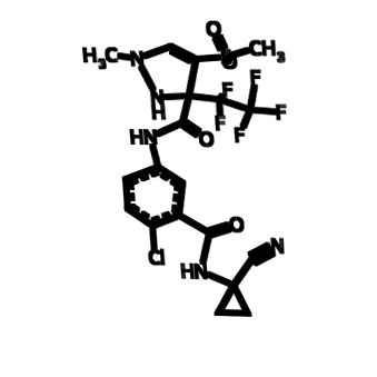 CN1C=C(S(C)(=O)=O)C(C(=O)Nc2ccc(Cl)c(C(=O)NC3(C#N)CC3)c2)(C(F)(F)C(F)(F)F)N1